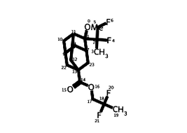 COC1(C(C)(F)CF)C2CC3CC1CC(C(=O)OCC(C)(F)F)(C3)C2